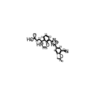 CC(C)Oc1ccc(-c2nc(-c3cccc4c3OCCNC4CCC(=O)O)no2)cc1C#N